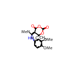 CNC(Nc1ccc(OC)c(OC)c1)=C1C(=O)OC(=O)OC1(C)C